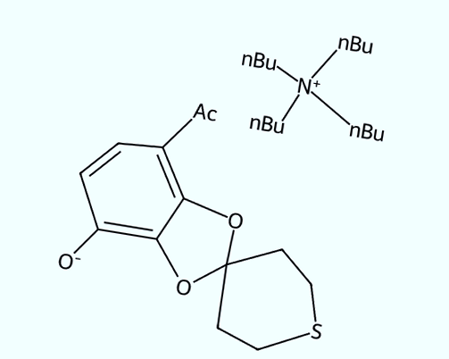 CC(=O)c1ccc([O-])c2c1OC1(CCSCC1)O2.CCCC[N+](CCCC)(CCCC)CCCC